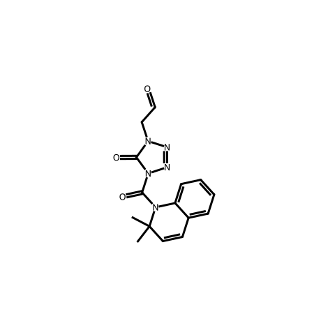 CC1(C)C=Cc2ccccc2N1C(=O)n1nnn(CC=O)c1=O